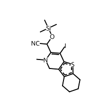 CN1Cc2c(sc3c2CCCC3)C(I)=C1C(C#N)O[Si](C)(C)C